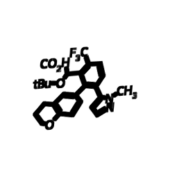 Cn1nccc1-c1ccc(C(F)(F)F)c(C(OC(C)(C)C)C(=O)O)c1-c1ccc2c(c1)CCCO2